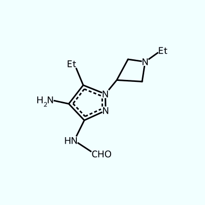 CCc1c(N)c(NC=O)nn1C1CN(CC)C1